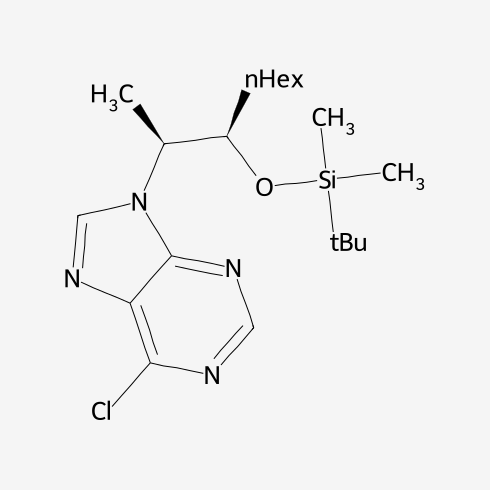 CCCCCC[C@@H](O[Si](C)(C)C(C)(C)C)[C@H](C)n1cnc2c(Cl)ncnc21